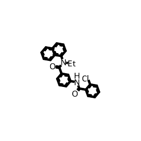 CCN(C(=O)c1cccc(NC(=O)c2ccccc2Cl)c1)c1cccc2ccccc12